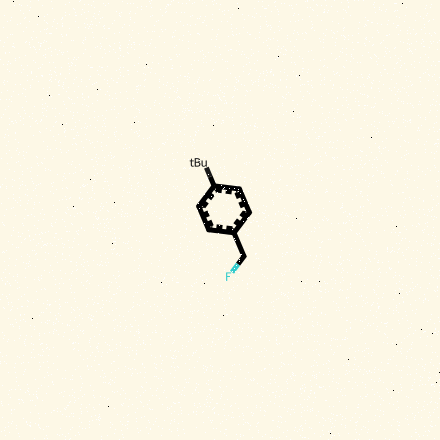 CC(C)(C)c1ccc(CF)cc1